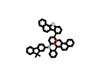 CC1(C)c2ccccc2-c2ccc(N(c3ccc(-c4cccc5oc6c7ccccc7ccc6c45)cc3)c3ccccc3-c3cccc4c3ccc3ccccc34)cc21